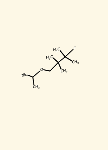 CC(OCC(C)(C)C(C)(C)F)C(C)(C)C